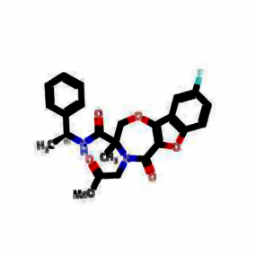 COC(=O)CN1C(=O)c2oc3ccc(F)cc3c2OCC1(C)C(=O)N[C@@H](C)c1ccccc1